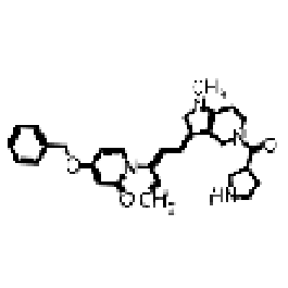 C=C/C(=C\C=C1/CN(C)C2=C1CN(C(=O)C1CCNC1)CC2)n1ccc(OCc2ccccc2)cc1=O